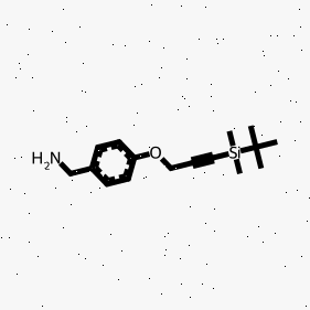 CC(C)(C)[Si](C)(C)C#CCOc1ccc(CN)cc1